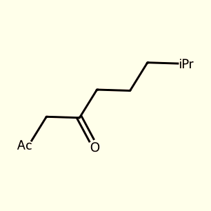 CC(=O)CC(=O)CCCC(C)C